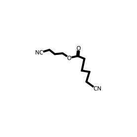 N#CCCCCC(=O)OCCCC#N